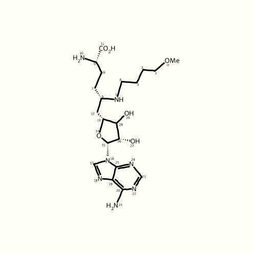 COCCCCN[C@@H](CC[C@H](N)C(=O)O)C[C@H]1O[C@@H](n2cnc3c(N)ncnc32)[C@@H](O)C1O